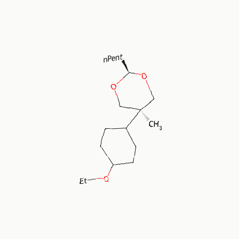 CCCCC[C@H]1OC[C@@](C)(C2CCC(OCC)CC2)CO1